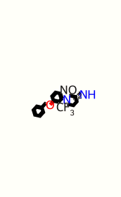 N=C[C@@H]1CCCN(c2c([N+](=O)[O-])ccc(OCc3ccccc3)c2C(F)(F)F)C1